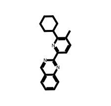 Cc1ccc(-c2ncc3ccccc3n2)nc1C1CCCCC1